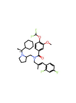 COc1cc(C(=O)N(CC(C)=Cc2ccc(F)cc2F)CC2CCCN2[C@@H](C)C2CCCCC2)ccc1OC(F)F